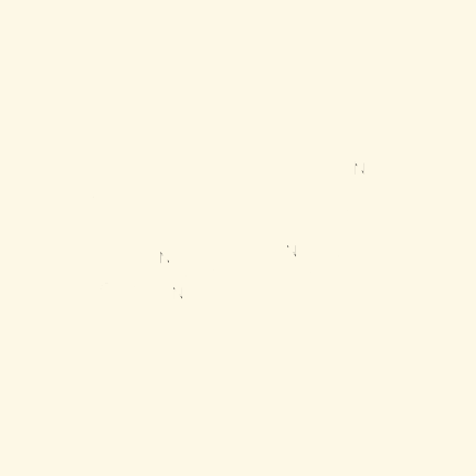 c1ccc(-c2ccc(-c3nc(-c4ccc(-n5c6ccccc6c6c7c8c9ccccc9ccc8n8c9ccccc9c(cc65)c78)cc4)nc4c3oc3ccccc34)cc2)cc1